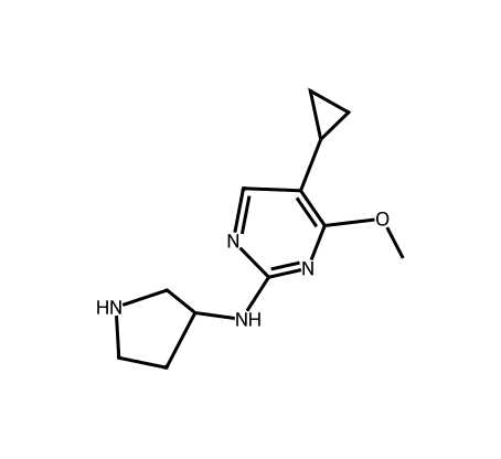 COc1nc(NC2CCNC2)ncc1C1CC1